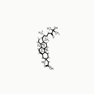 C[C@H](CCC(=O)C(C)(C)O)[C@H]1CC[C@H]2[C@@H]3CC=C4C[C@@](O)(CC(=O)O)CC[C@]4(C)[C@H]3CC[C@]12C